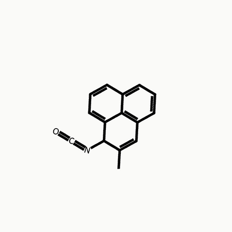 CC1=Cc2cccc3cccc(c23)C1N=C=O